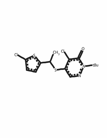 CC(Sc1cnn(C(C)(C)C)c(=O)c1Cl)c1ccc(Cl)s1